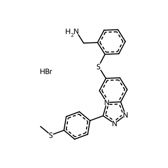 Br.CSc1ccc(-c2nnc3ccc(Sc4ccccc4CN)cn23)cc1